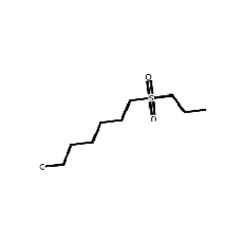 CCCS(=O)(=O)CCCCCC[O]